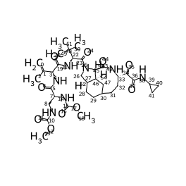 C=C(C)[C@H](NC(=O)[C@H](CNC(=O)OC)NC(=O)OC)C(=O)N[C@H](C(=O)N1C[C@@H]2CCC3CC[C@@H](C(=O)C(=O)NC4CC4)NC(=O)[C@@H]1[C@H]2C3)C(C)(C)C